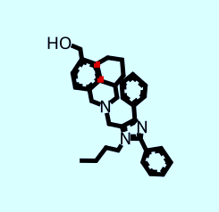 CCCCn1c(-c2ccccc2)nc(-c2ccccc2)c1CN(Cc1ccc(CO)cc1)CC1CCCCC1